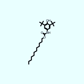 CCCCCCCCCCCCOC(=O)Nc1cc(C(C)(C)C)c(O)c(C(C)(C)C)c1